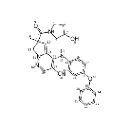 CC1(C(=O)N2CCC(O)C2)C=C2C(Nc3ccc(Oc4ccccc4)cc3)=C(C#N)C=NN2C1